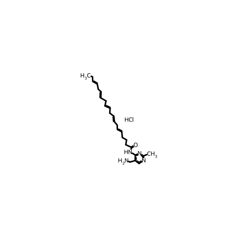 CCC=CCC=CCC=CCC=CCC=CCCCC(=O)Nc1nc(C)ncc1CN.Cl